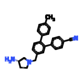 Cc1ccc(-c2ccc(CN3CC[C@H](N)C3)cc2-c2ccc(C#N)cc2)cc1